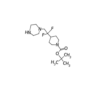 CC(C)(C)OC(=O)N1CCC(C(F)(F)CN2CCNCC2)CC1